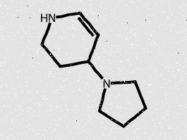 C1=CC(N2CCCC2)CCN1